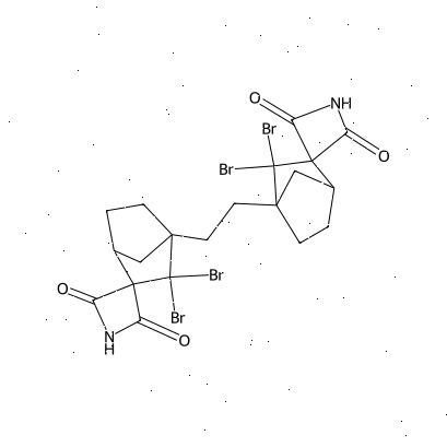 O=C1NC(=O)C12C1CCC(CCC34CCC(C3)C3(C(=O)NC3=O)C4(Br)Br)(C1)C2(Br)Br